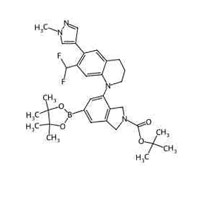 Cn1cc(-c2cc3c(cc2C(F)F)N(c2cc(B4OC(C)(C)C(C)(C)O4)cc4c2CN(C(=O)OC(C)(C)C)C4)CCC3)cn1